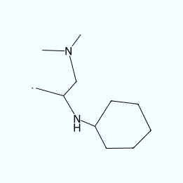 [CH2]C(CN(C)C)NC1CCCCC1